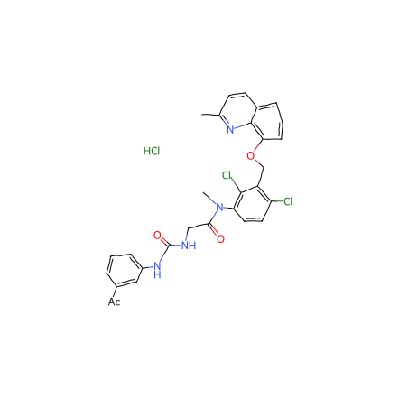 CC(=O)c1cccc(NC(=O)NCC(=O)N(C)c2ccc(Cl)c(COc3cccc4ccc(C)nc34)c2Cl)c1.Cl